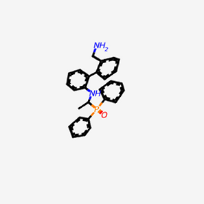 CC(Nc1ccccc1-c1ccccc1CN)P(=O)(c1ccccc1)c1ccccc1